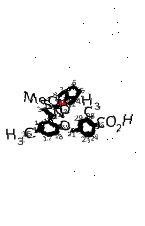 COC(=O)C1C2CCC1CN(c1nc(-c3cc(C)ccc3OCc3ccc(C(=O)O)c(C)c3)cs1)C2